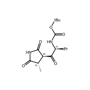 CC(C)[C@H](NC(=O)OC(C)(C)C)C(=O)[C@@H]1C(=O)NC(=O)[C@H]1C